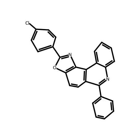 Clc1ccc(-c2nc3c(ccc4c(-c5ccccc5)nc5ccccc5c43)o2)cc1